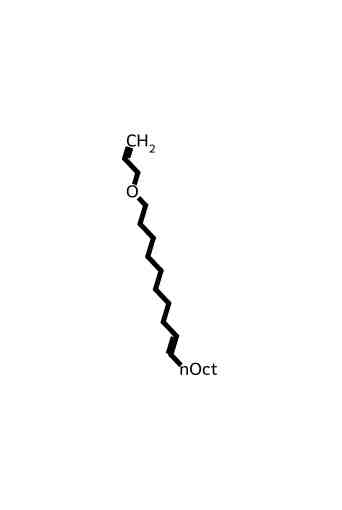 C=CCOCCCCCCCCC=CCCCCCCCC